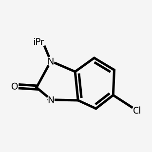 CC(C)N1C(=O)[N]c2cc(Cl)ccc21